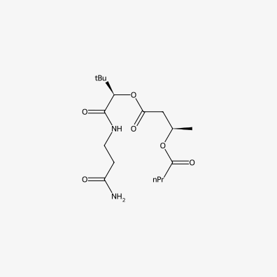 [CH2]C(C)(C)[C@@H](OC(=O)C[C@@H](C)OC(=O)CCC)C(=O)NCCC(N)=O